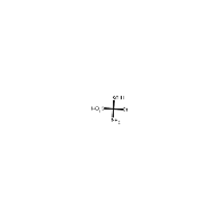 CCC(N)(C(=O)O)S(=O)(=O)O